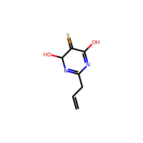 C=CCC1=NC(O)C(=S)C(O)=N1